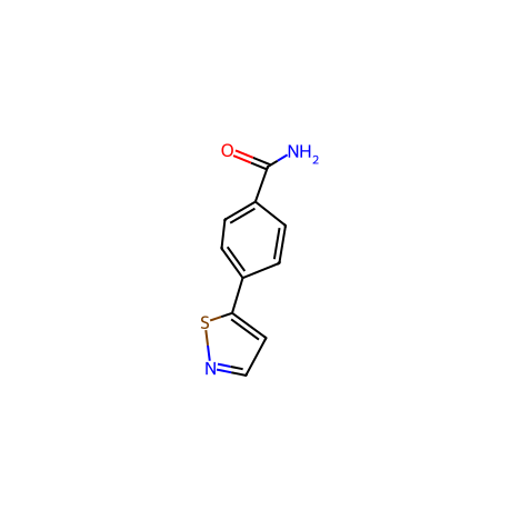 NC(=O)c1ccc(-c2ccns2)cc1